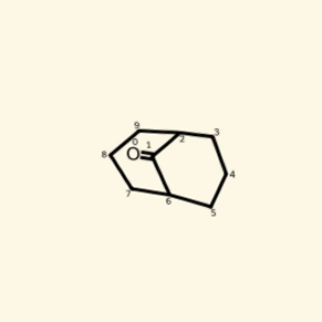 O=C1C2CCCC1CCC2